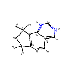 CC1(C)CC(C)(C)c2c1ccc1cncnc21